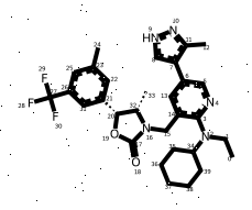 CCN(c1ncc(-c2c[nH]nc2C)cc1CN1C(=O)O[C@H](c2cc(C)cc(C(F)(F)F)c2)[C@@H]1C)C1CCCCC1